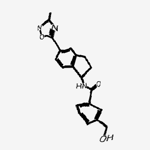 Cc1noc(-c2ccc3c(c2)CCC3NC(=O)c2cccc(CO)c2)n1